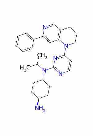 CC(C)N(c1nccc(N2CCCc3cnc(-c4ccccc4)cc32)n1)[C@H]1CC[C@H](N)CC1